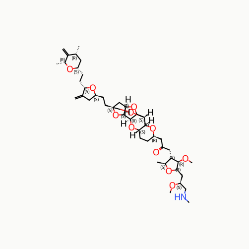 C=C1C[C@H](CC[C@@]23C[C@H]4OC5[C@@H](O[C@H]6CC[C@H](CC(=O)C[C@@H]7[C@@H](OC)[C@@H](C[C@@H](CNC)OC)O[C@H]7C)O[C@@H]6[C@@H]5O2)[C@H]4O3)O[C@H]1CC[C@H]1C[C@@H](C)C(=C)[C@@H](C)O1